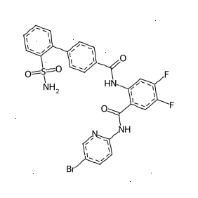 NS(=O)(=O)c1ccccc1-c1ccc(C(=O)Nc2cc(F)c(F)cc2C(=O)Nc2ccc(Br)cn2)cc1